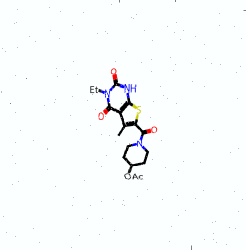 CCn1c(=O)[nH]c2sc(C(=O)N3CCC(OC(C)=O)CC3)c(C)c2c1=O